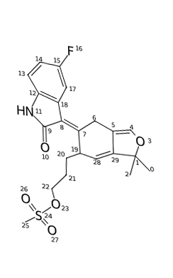 CC1(C)OC=C2CC(=C3C(=O)Nc4ccc(F)cc43)C(CCCOS(C)(=O)=O)C=C21